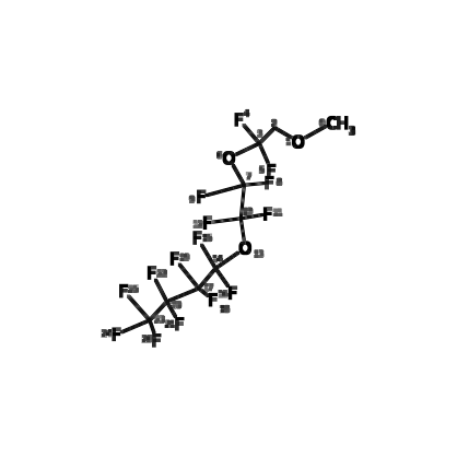 COCC(F)(F)OC(F)(F)C(F)(F)OC(F)(F)C(F)(F)C(F)(F)C(F)(F)F